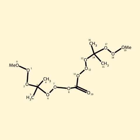 COOOC(C)(C)OOOC(=O)OOOC(C)(C)OOOC